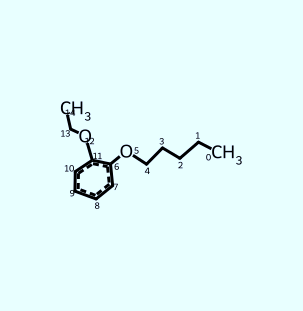 CCCCCOc1ccccc1OCC